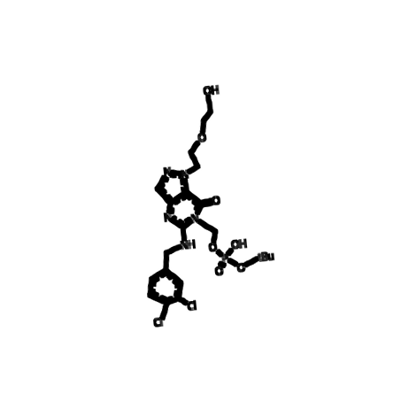 CC(C)(C)OP(=O)(O)OCn1c(NCc2ccc(Cl)c(Cl)c2)nc2cnn(CCOCCO)c2c1=O